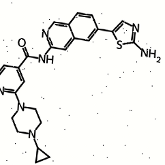 Nc1ncc(-c2ccc3cnc(NC(=O)c4ccnc(N5CCN(C6CC6)CC5)c4)cc3c2)s1